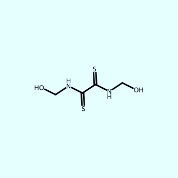 OCNC(=S)C(=S)NCO